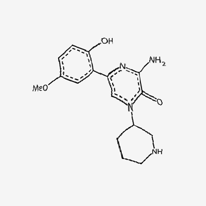 COc1ccc(O)c(-c2cn(C3CCCNC3)c(=O)c(N)n2)c1